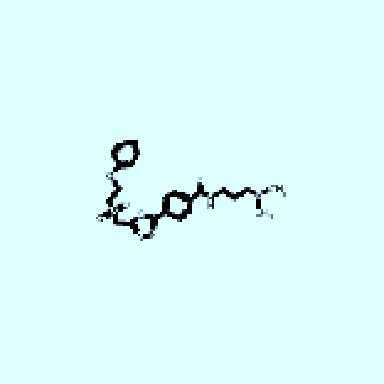 CN(C)CCCNC(=O)c1ccc(-c2nnc(CS(=O)(=O)CCOc3ccccc3)o2)cc1